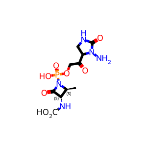 C[C@H]1[C@H](NC(=O)O)C(=O)N1P(=O)(O)OCC(=O)C1CNC(=O)N1N